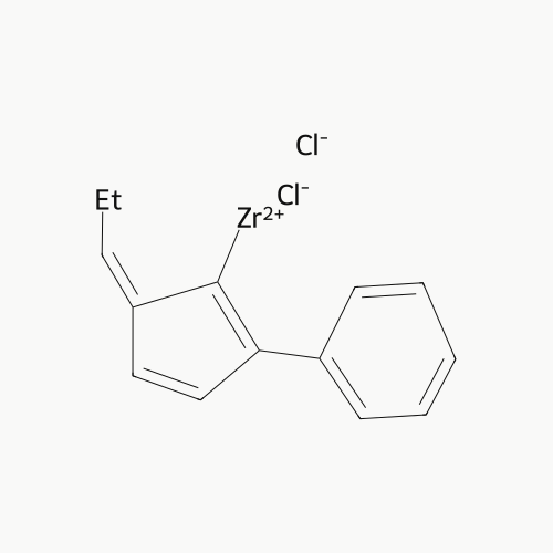 CCC=C1C=CC(c2ccccc2)=[C]1[Zr+2].[Cl-].[Cl-]